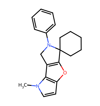 Cn1ccc2oc3c(c21)CN(c1ccccc1)C31CCCCC1